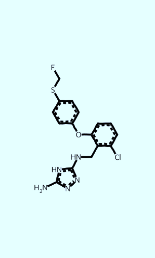 Nc1nnc(NCc2c(Cl)cccc2Oc2ccc(SCF)cc2)[nH]1